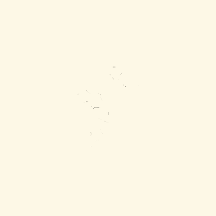 CN(CCOc1nc2ccccc2nc1NS(=O)(=O)c1ccc(Cl)cc1)c1ccccc1